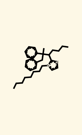 CCCCCCCCn1ccnc1C(CCCC)C(C)(Cc1ccccc1)c1ccccc1